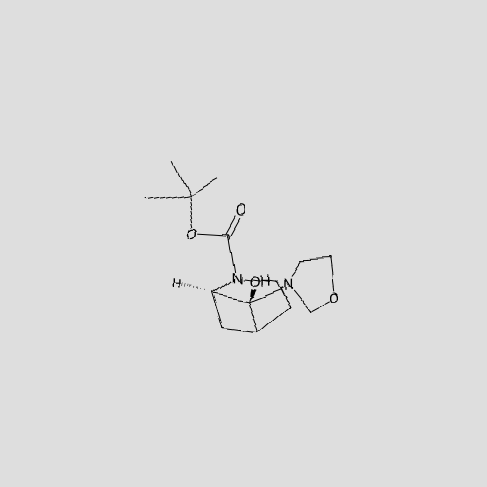 CC(C)(C)OC(=O)N1CCC2C[C@@H]1[C@]2(O)N1CCOC1